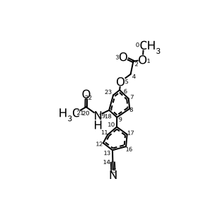 COC(=O)COc1ccc(-c2ccc(C#N)cc2)c(NC(C)=O)c1